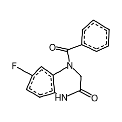 O=C1CN(C(=O)c2ccccc2)c2cc(F)ccc2N1